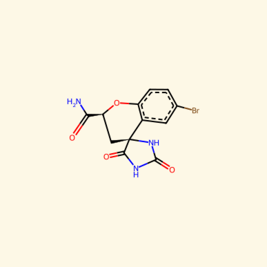 NC(=O)[C@@H]1C[C@]2(NC(=O)NC2=O)c2cc(Br)ccc2O1